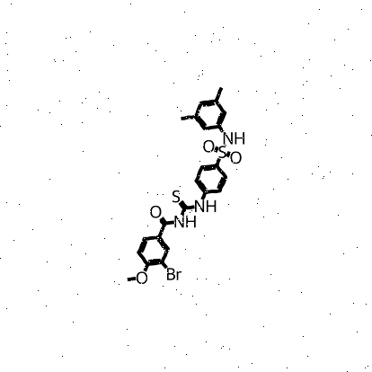 COc1ccc(C(=O)NC(=S)Nc2ccc(S(=O)(=O)Nc3cc(C)cc(C)c3)cc2)cc1Br